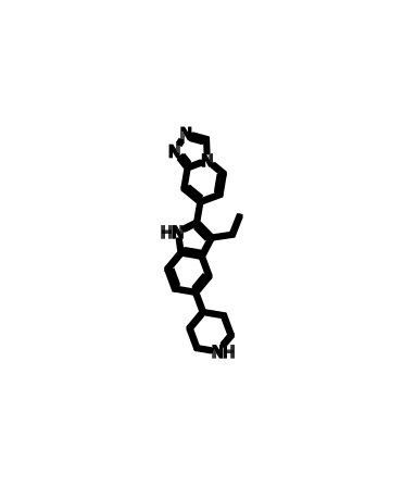 CCc1c(-c2ccn3cnnc3c2)[nH]c2ccc(C3CCNCC3)cc12